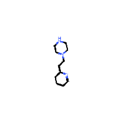 [CH](CN1CCNCC1)C1CCCC=N1